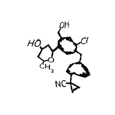 CC1CC(O)CC(c2cc(Cc3ccc(C4(C#N)CC4)cc3)c(Cl)cc2CO)O1